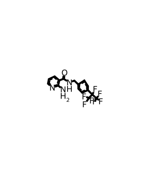 Nc1ncccc1C(=O)NCc1ccc(C(F)(C(F)(F)F)C(F)(F)F)cc1